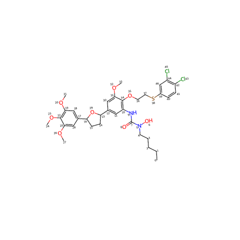 CCCCCN(O)C(=O)Nc1cc(C2CCC(c3cc(OC)c(OC)c(OC)c3)O2)cc(OC)c1OCCSc1ccc(Cl)c(Cl)c1